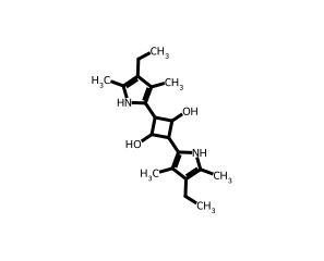 CCc1c(C)[nH]c(C2C(O)C(c3[nH]c(C)c(CC)c3C)C2O)c1C